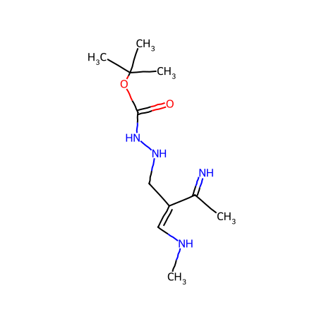 CN/C=C(/CNNC(=O)OC(C)(C)C)C(C)=N